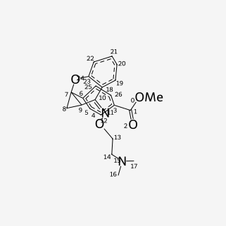 COC(=O)c1ccc(C23CC2C(=NOCCN(C)C)c2ccccc2O3)cc1